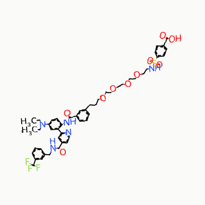 CCN(CC)c1ccc(NC(=O)c2cccc(CCCOCCOCCOCCOCCNS(=O)(=O)c3ccc(C(=O)O)cc3)c2)c(-c2cc(C(=O)NCc3cccc(C(F)(F)F)c3)ccn2)c1